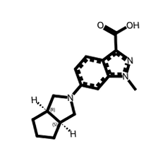 Cn1nc(C(=O)O)c2ccc(N3C[C@H]4CCC[C@H]4C3)cc21